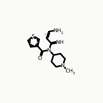 CN1CCC(N(C(=N)/C=C\N)C(=O)c2ccsc2)CC1